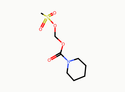 CS(=O)(=O)OCOC(=O)N1CCCCC1